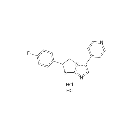 Cl.Cl.Fc1ccc(C2Cn3c(-c4ccncc4)cnc3S2)cc1